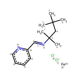 CC(C)(C)CC(C)(C)/N=C/c1ccccn1.[Cl-].[Cl-].[Fe+2]